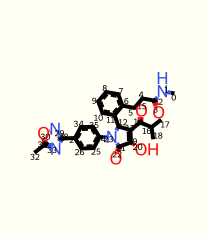 CNC(=O)CCc1ccccc1C1C(C(=O)C(C)C)=C(O)C(=O)N1c1ccc(-c2noc(C)n2)cc1